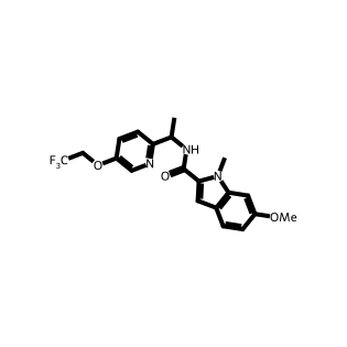 COc1ccc2cc(C(=O)NC(C)c3ccc(OCC(F)(F)F)cn3)n(C)c2c1